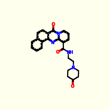 O=C1CCN(CCNC(=O)c2cccn3c(=O)c4ccc5ccccc5c4nc23)CC1